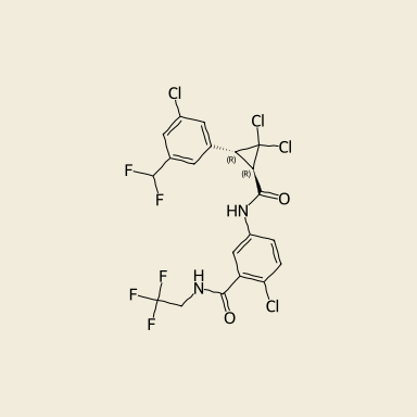 O=C(NCC(F)(F)F)c1cc(NC(=O)[C@H]2[C@H](c3cc(Cl)cc(C(F)F)c3)C2(Cl)Cl)ccc1Cl